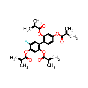 C=C(C)C(=O)Oc1ccc(-c2cc(F)c(OC(=O)C(=C)C)cc2OC(=O)C(=C)C)c(OC(=O)C(=C)C)c1